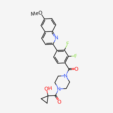 COc1ccc2nc(-c3ccc(C(=O)N4CCN(C(=O)C5(O)CC5)CC4)c(F)c3F)ccc2c1